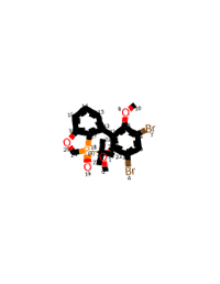 COc1c(Br)cc(Br)c(OC)c1-c1cccc2c1[P@](=O)(C(C)(C)C)CO2